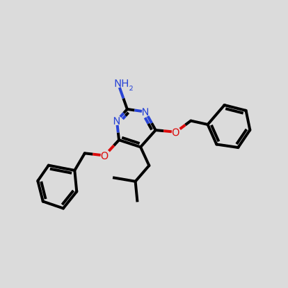 CC(C)Cc1c(OCc2ccccc2)nc(N)nc1OCc1ccccc1